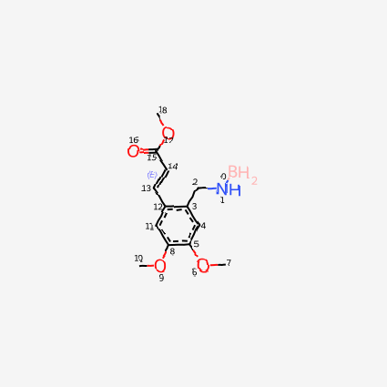 BNCc1cc(OC)c(OC)cc1/C=C/C(=O)OC